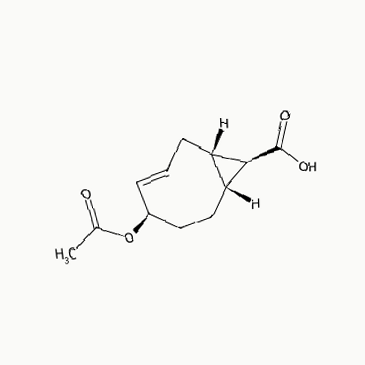 CC(=O)O[C@H]1/C=C/C[C@H]2[C@@H](CC1)[C@@H]2C(=O)O